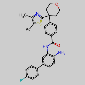 CC(=O)c1sc(C2(c3ccc(C(=O)Nc4cc(-c5ccc(F)cc5)ccc4N)cc3)CCOCC2)nc1C